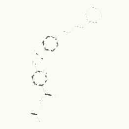 CC(=O)SCC(=O)c1ccc(NS(=O)(=O)c2ccc(OCCCN3CCOCC3)cc2)nc1